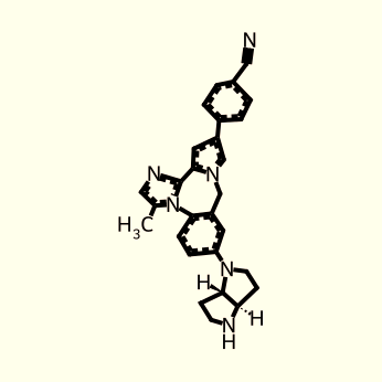 Cc1cnc2n1-c1ccc(N3CC[C@H]4NCC[C@@H]43)cc1Cn1cc(-c3ccc(C#N)cc3)cc1-2